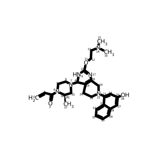 C=CC(=O)N1CCN(C2NC(OCCN(C)C)=NC3=C2CCN(c2cc(O)cc4ccccc24)C3)C[C@H]1C